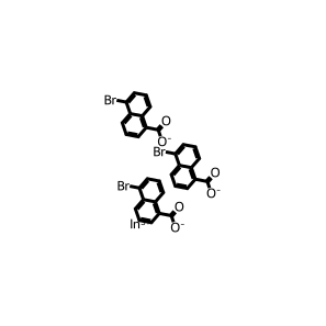 O=C([O-])c1cccc2c(Br)cccc12.O=C([O-])c1cccc2c(Br)cccc12.O=C([O-])c1cccc2c(Br)cccc12.[In+3]